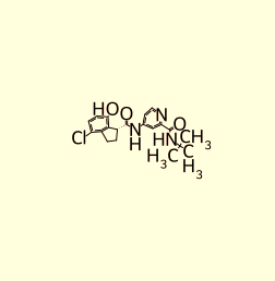 CC(C)(C)NC(=O)c1cc(NC(=O)[C@@H]2CCc3c(Cl)ccc(O)c32)ccn1